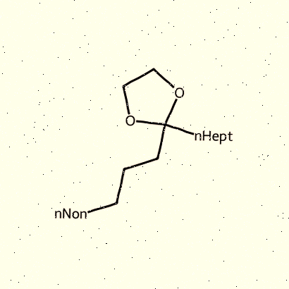 CCCCCCCCCCCCC1(CCCCCCC)OCCO1